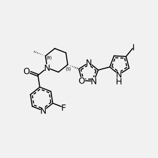 C[C@@H]1CC[C@H](c2nc(-c3cc(I)c[nH]3)no2)CN1C(=O)c1ccnc(F)c1